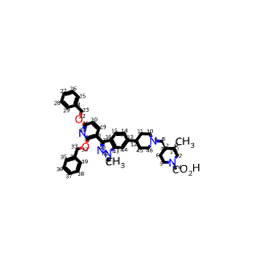 C[C@@H]1CN(C(=O)O)CC[C@H]1CN1CCC(c2ccc3c(-c4ccc(OCc5ccccc5)nc4OCc4ccccc4)nn(C)c3c2)CC1